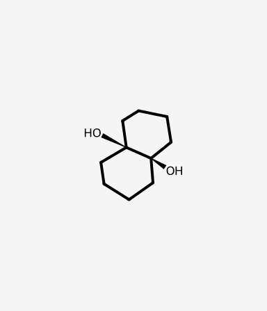 O[C@]12CCCC[C@@]1(O)CCCC2